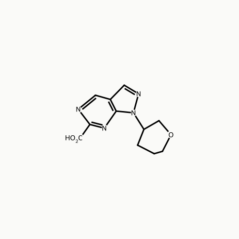 O=C(O)c1ncc2cnn(C3CCCOC3)c2n1